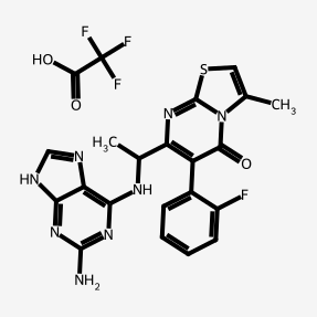 Cc1csc2nc(C(C)Nc3nc(N)nc4[nH]cnc34)c(-c3ccccc3F)c(=O)n12.O=C(O)C(F)(F)F